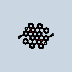 N#Cc1cc2c3c(c1)-c1cc(-c4c(-c5ccccc5)cccc4-c4ccccc4)c4cc5c6c(cc(-c7c(-c8ccccc8)cccc7-c7ccccc7)c7cc(c1c4c76)B3c1ccccc1O2)-c1cc(C#N)cc2c1B5c1ccccc1O2